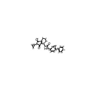 O=C(CN1CCCC2=C1C(=O)N(C1CC1)C2=O)Nc1ccc(-c2ccccc2)nn1